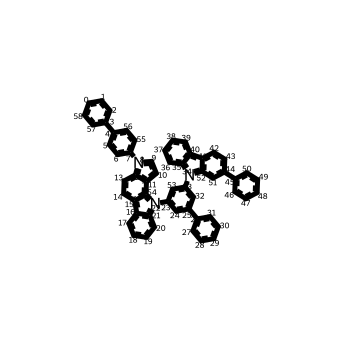 c1ccc(-c2ccc(-n3ccc4c3ccc3c5ccccc5n(-c5cc(-c6ccccc6)cc(-n6c7ccccc7c7ccc(-c8ccccc8)cc76)c5)c34)cc2)cc1